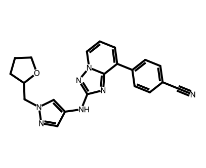 N#Cc1ccc(-c2cccn3nc(Nc4cnn(CC5CCCO5)c4)nc23)cc1